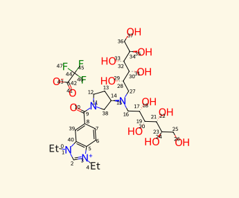 CCn1c[n+](CC)c2ccc(C(=O)N3CC[C@@H](N(C[C@H](O)[C@@H](O)[C@H](O)[C@H](O)CO)C[C@H](O)[C@@H](O)[C@H](O)[C@H](O)CO)C3)cc21.O=C([O-])C(F)(F)F